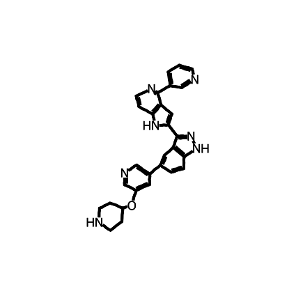 c1cncc(-c2nccc3[nH]c(-c4n[nH]c5ccc(-c6cncc(OC7CCNCC7)c6)cc45)cc23)c1